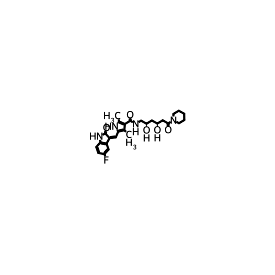 Cc1[nH]c(/C=C2\C(=O)Nc3ccc(F)cc32)c(C)c1C(=O)NC[C@@H](O)C[C@@H](O)CC(=O)N1CCCCC1